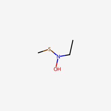 CCN(O)SC